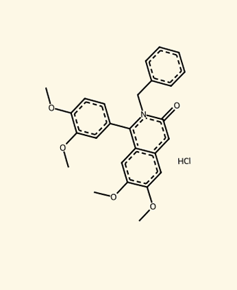 COc1ccc(-c2c3cc(OC)c(OC)cc3cc(=O)n2Cc2ccccc2)cc1OC.Cl